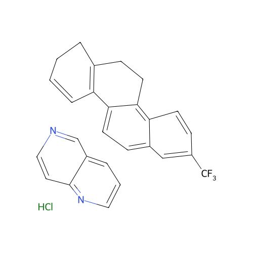 Cl.FC(F)(F)c1ccc2c3c(ccc2c1)C1=C(CCC=C1)CC3.c1cnc2ccncc2c1